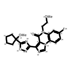 COCCn1c(=O)c2c(-c3noc(C4(OC)CCCC4)n3)ncn2c2ccc(F)cc21